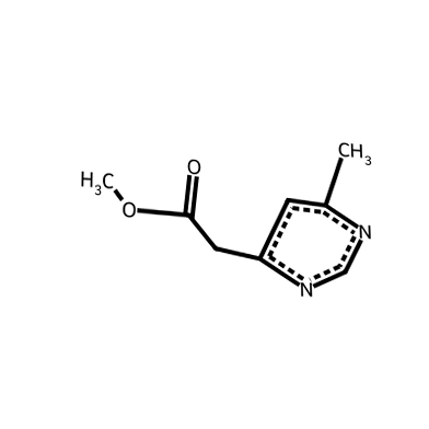 COC(=O)Cc1cc(C)ncn1